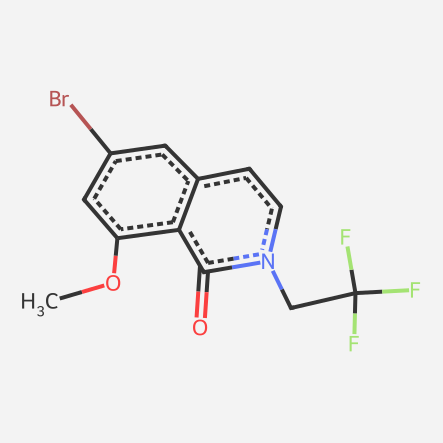 COc1cc(Br)cc2ccn(CC(F)(F)F)c(=O)c12